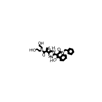 O=C(c1csc2c1SN=C(c1c(O)c3ccccc3n(Cc3ccccc3)c1=O)N2)N(CCO)CCO